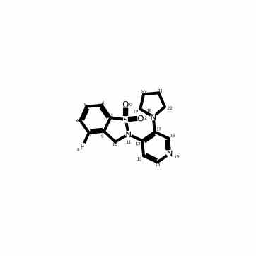 O=S1(=O)c2cccc(F)c2CN1c1ccncc1N1CCCC1